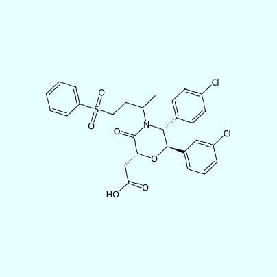 CC(CCS(=O)(=O)c1ccccc1)N1C(=O)[C@@H](CC(=O)O)O[C@H](c2cccc(Cl)c2)[C@H]1c1ccc(Cl)cc1